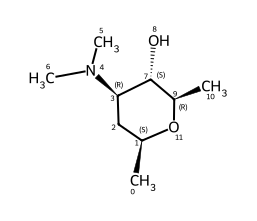 C[C@H]1C[C@@H](N(C)C)[C@H](O)[C@@H](C)O1